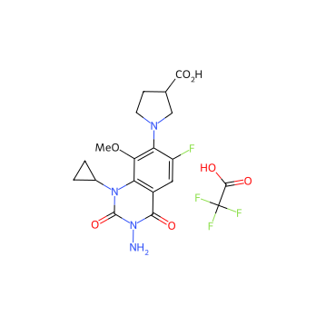 COc1c(N2CCC(C(=O)O)C2)c(F)cc2c(=O)n(N)c(=O)n(C3CC3)c12.O=C(O)C(F)(F)F